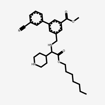 CCCCCCCOC(=O)C(NCc1cc(C(=O)OC)cc(-c2cccc(C#N)c2)c1)C1CCNCC1